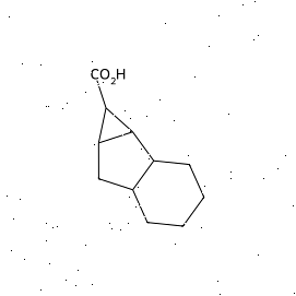 O=C(O)C1C2CC3CCCCC3C21